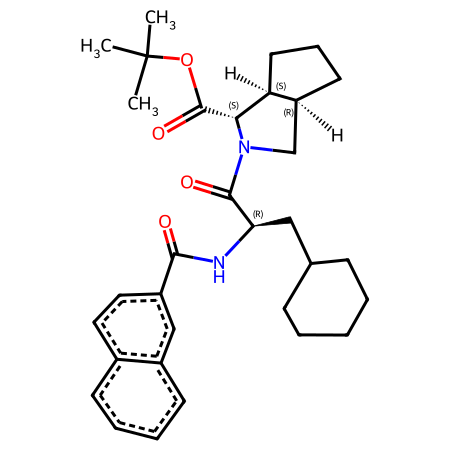 CC(C)(C)OC(=O)[C@@H]1[C@H]2CCC[C@H]2CN1C(=O)[C@@H](CC1CCCCC1)NC(=O)c1ccc2ccccc2c1